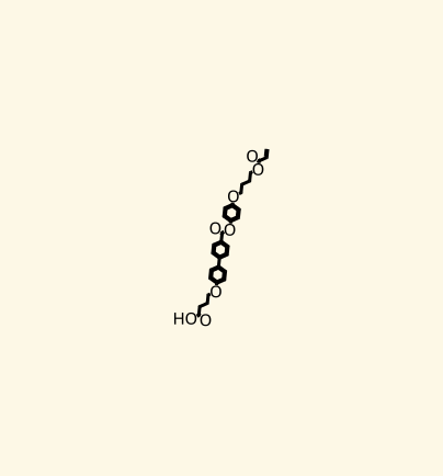 C=CC(=O)OCCCCOc1ccc(OC(=O)c2ccc(-c3ccc(OCCCC(=O)O)cc3)cc2)cc1